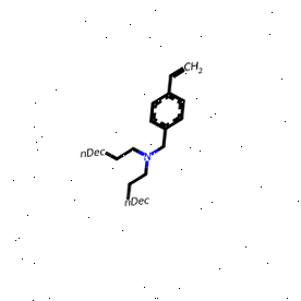 C=Cc1ccc(CN(CCCCCCCCCCCC)CCCCCCCCCCCC)cc1